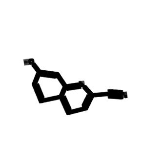 N#Cc1ccc2ccc(O)cc2n1